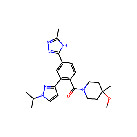 COC1(C)CCN(C(=O)c2ccc(-c3nnc(C)[nH]3)cc2-c2ccn(C(C)C)n2)CC1